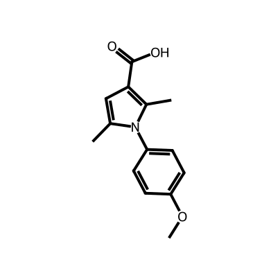 COc1ccc(-n2c(C)cc(C(=O)O)c2C)cc1